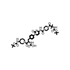 CC(C)(C)OC(=O)NC1CCCN(C(=O)C(Cc2ccc(-n3ccc(NC(=O)N4CCN(C(=O)C(C)(C)NC(=O)OC(C)(C)C)CC4)nc3=O)cc2)NC(=O)O)CC1